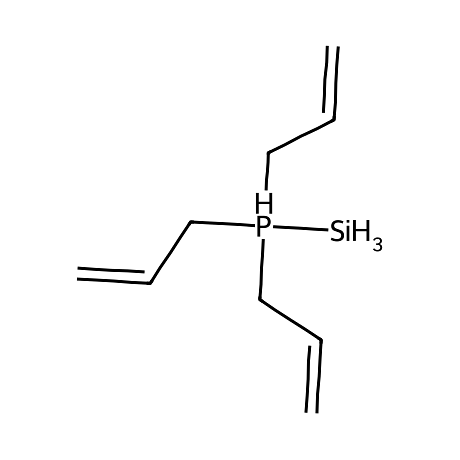 C=CC[PH]([SiH3])(CC=C)CC=C